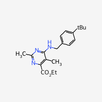 CCOC(=O)c1nc(C)nc(NCc2ccc(C(C)(C)C)cc2)c1C